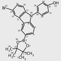 CC1(C)OB(c2ccc3c(c2)c2cc(Br)ccc2n3-c2ccc(O)cc2)OC1(C)C